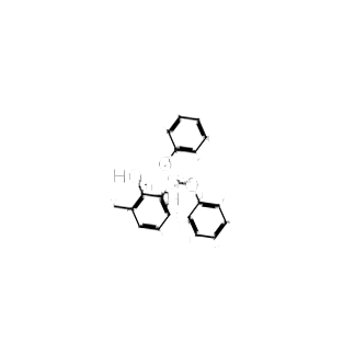 Cc1cccc([SiH](Oc2ccccc2)Oc2ccccc2)c1O